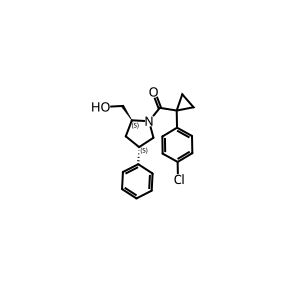 O=C(N1C[C@H](c2ccccc2)C[C@H]1CO)C1(c2ccc(Cl)cc2)CC1